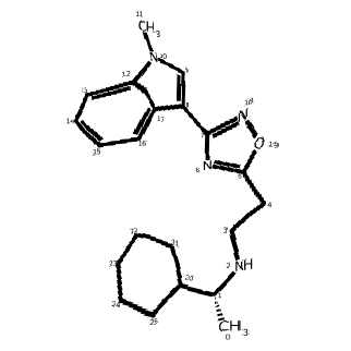 C[C@@H](NCCc1nc(-c2cn(C)c3ccccc23)no1)C1CCCCC1